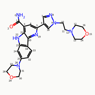 NC(=O)c1cc(-c2cnn(CCN3CCOCC3)c2)nc2c1[nH]c1cc(N3CCOCC3)ccc12